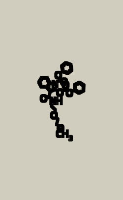 COCCOCCNC(=O)c1c(OC(=O)Oc2ccccc2)n(C(=O)Oc2ccccc2)c2ccccc12